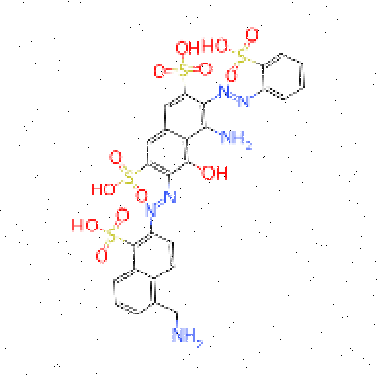 NCc1cccc2c(S(=O)(=O)O)c(N=Nc3c(S(=O)(=O)O)cc4cc(S(=O)(=O)O)c(N=Nc5ccccc5S(=O)(=O)O)c(N)c4c3O)ccc12